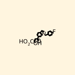 O=C(O)C(O)=CC(=O)c1ccc2ccn(Cc3ccc(F)cc3)c2c1